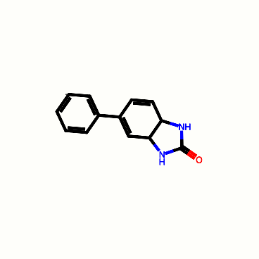 O=C1NC2C=CC(c3c[c]ccc3)=CC2N1